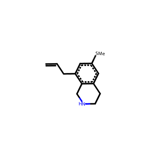 C=CCc1cc(SC)cc2c1CNCC2